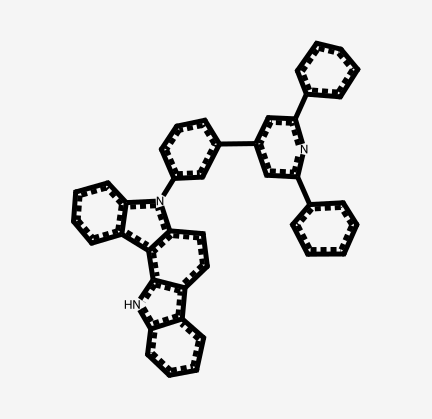 c1ccc(-c2cc(-c3cccc(-n4c5ccccc5c5c6[nH]c7ccccc7c6ccc54)c3)cc(-c3ccccc3)n2)cc1